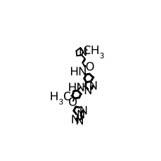 Cc1cc(Nc2ncnc3ccc(NC(=O)/C=C/C4CCCN4C)cc23)ccc1Oc1cnn2cnnc2c1